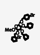 CO[C@@H]1O[C@H](COCc2ccc(Br)cc2)[C@@H](OCc2ccccc2)[C@H](OCc2ccccc2)[C@H]1OCc1ccccc1Br